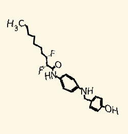 CCCCCCC[C@H](F)[C@@H](F)C(=O)Nc1ccc(NCc2ccc(O)cc2)cc1